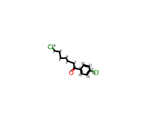 O=C(CCCCCCCl)c1ccc(Cl)cc1